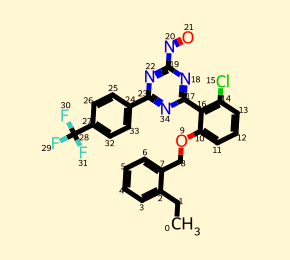 CCc1ccccc1COc1cccc(Cl)c1-c1nc(N=O)nc(-c2ccc(C(F)(F)F)cc2)n1